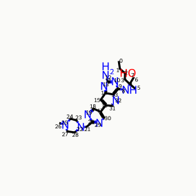 CCCCC(C)(CO)Nc1nc(N)nc2cc(-c3cnc(CN4CCN(C)CC4)nc3)cnc12